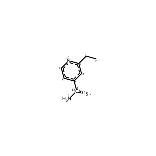 CCc1cc([13C](N)=[34S])ccn1